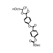 CCCCCCCCCCC(=O)Oc1ccc(C(=O)Oc2ccc(C(=O)OC(CCCCCCCC)C(F)(F)F)cc2)cc1